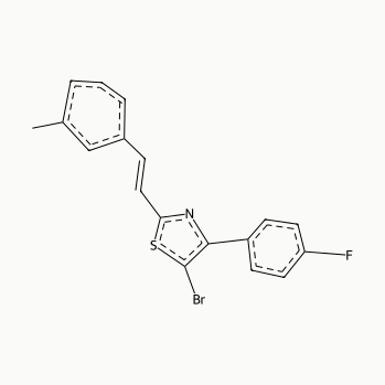 Cc1cccc(C=Cc2nc(-c3ccc(F)cc3)c(Br)s2)c1